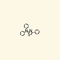 c1ccc(-c2csc(N(c3ccccc3)c3ccccc3)n2)cc1